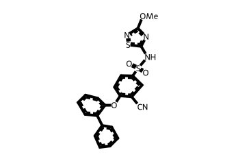 COc1nsc(NS(=O)(=O)c2ccc(Oc3ccccc3-c3ccccc3)c(C#N)c2)n1